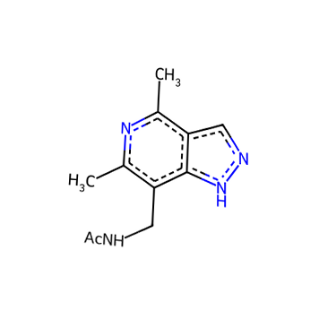 CC(=O)NCc1c(C)nc(C)c2cn[nH]c12